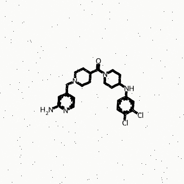 Nc1cc(CN2CCC(C(=O)N3CCC(Nc4ccc(Cl)c(Cl)c4)CC3)CC2)ccn1